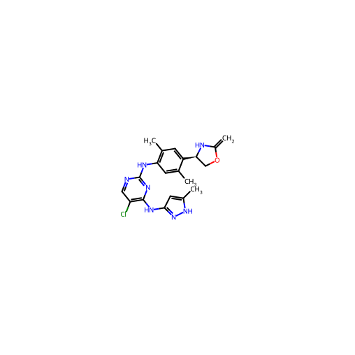 C=C1N[C@H](c2cc(C)c(Nc3ncc(Cl)c(Nc4cc(C)[nH]n4)n3)cc2C)CO1